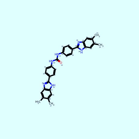 Cc1cc2nc(-c3ccc(NC(=O)Nc4ccc(-c5nc6cc(C)c(C)cc6[nH]5)cc4)cc3)[nH]c2cc1C